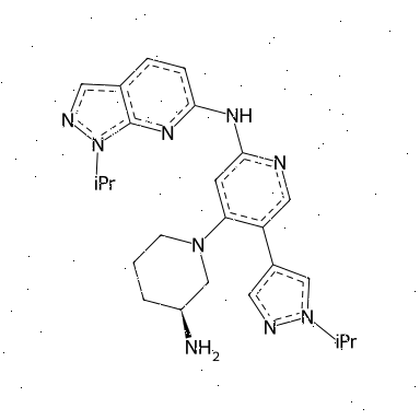 CC(C)n1cc(-c2cnc(Nc3ccc4cnn(C(C)C)c4n3)cc2N2CCC[C@H](N)C2)cn1